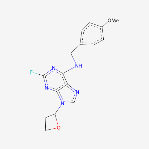 COc1ccc(CNc2nc(F)nc3c2ncn3C2CCO2)cc1